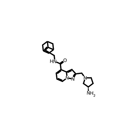 N[C@@H]1CCN(Cc2cc3c(C(=O)NCC4=C5C6CC(C4)CC5C6)cccn3n2)C1